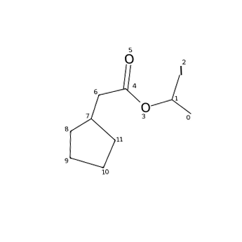 CC(I)OC(=O)CC1CCCC1